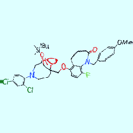 COc1ccc(CN2C(=O)CCc3c(OCC4(O)CCN(c5ccc(Cl)cc5Cl)CC4O[Si](C)(C)C(C)(C)C)ccc(F)c32)cc1